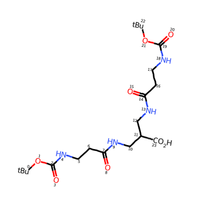 CC(C)(C)OC(=O)NCCC(=O)NCC(CNC(=O)CCNC(=O)OC(C)(C)C)C(=O)O